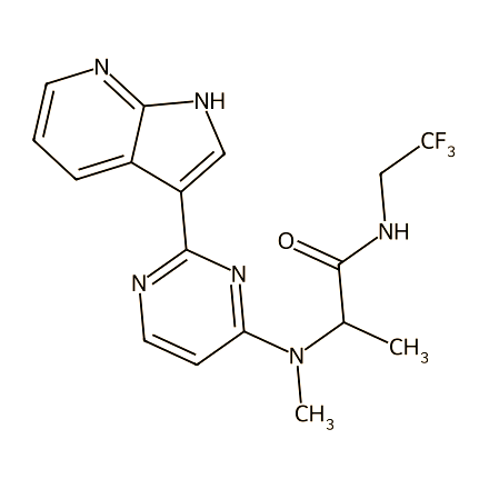 CC(C(=O)NCC(F)(F)F)N(C)c1ccnc(-c2c[nH]c3ncccc23)n1